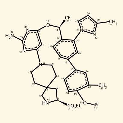 CCOC(=O)[C@@H]1CC2(CCN(c3cc(O[C@H](c4ccc(-c5ccc(OC(C)C)c(C)c5)cc4-n4ccc(C)n4)C(F)(F)F)nc(N)n3)CC2)CN1